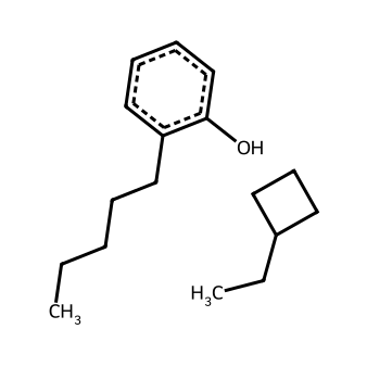 CCC1CCC1.CCCCCc1ccccc1O